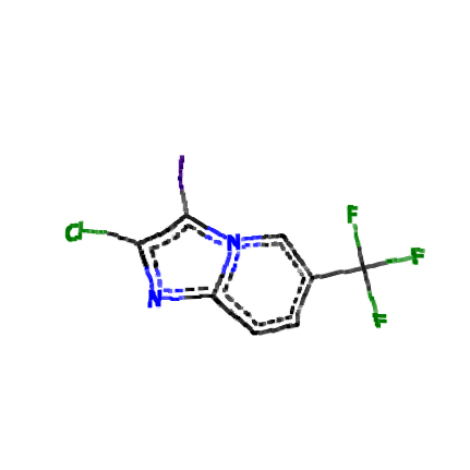 FC(F)(F)c1ccc2nc(Cl)c(I)n2c1